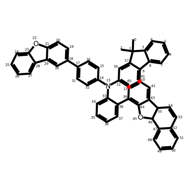 CC1(C)c2ccccc2-c2ccc(N(c3ccc(-c4ccc5oc6ccccc6c5c4)cc3)c3ccccc3-c3cccc4c3OC3c5ccccc5C=CC43)cc21